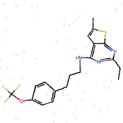 CCc1nc(NCCCc2ccc(OC(F)(F)F)cc2)c2cc(C)sc2n1